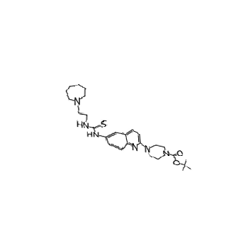 CC(C)(C)OC(=O)N1CCN(c2ccc3cc(NC(=S)NCCN4CCCCCC4)ccc3n2)CC1